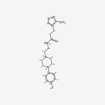 Cc1nccn1CCC(=O)NCCN1CCN(c2ccc(F)cc2)CC1